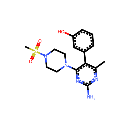 Cc1nc(N)nc(N2CCN(S(C)(=O)=O)CC2)c1-c1cccc(O)c1